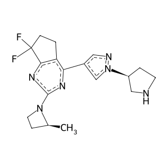 C[C@H]1CCN1c1nc(-c2cnn([C@H]3CCNC3)c2)c2c(n1)C(F)(F)CC2